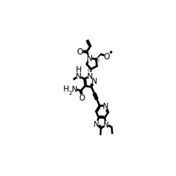 C=CC(=O)N1C[C@@H](n2nc(C#Cc3cc4nc(C)n(CC)c4cn3)c(C(N)=O)c2NC)C[C@@H]1COC